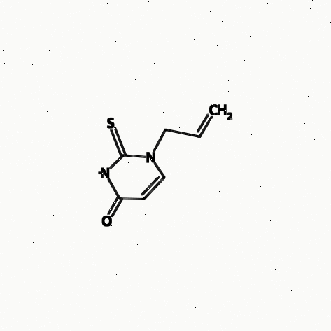 C=CCN1C=CC(=O)[N]C1=S